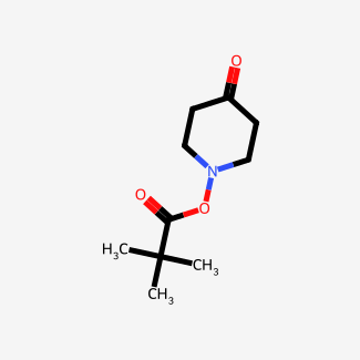 CC(C)(C)C(=O)ON1CCC(=O)CC1